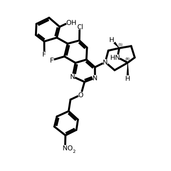 O=[N+]([O-])c1ccc(COc2nc(N3C[C@H]4CC[C@@H](C3)N4)c3cc(Cl)c(-c4c(O)cccc4F)c(F)c3n2)cc1